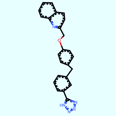 c1cc(Cc2ccc(OCc3ccc4ccccc4n3)cc2)cc(-c2nnn[nH]2)c1